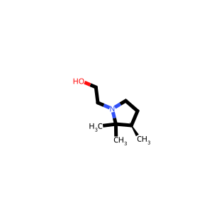 C[C@@H]1CCN(CCO)C1(C)C